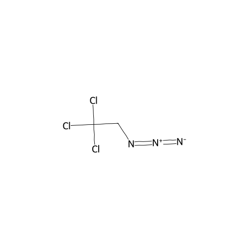 [N-]=[N+]=NCC(Cl)(Cl)Cl